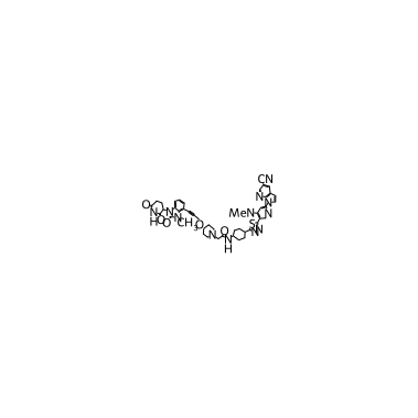 CNc1cc(-n2ccc3cc(C#N)cnc32)ncc1-c1nnc(C2CCC(NC(=O)CN3CCC(OCC#Cc4cccc5c4n(C)c(=O)n5C4CCC(=O)NC4=O)CC3)CC2)s1